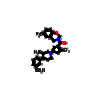 CC1CN([C@H]2CC(C(=O)N3COc4ccc(C(F)(F)F)cc4C3)=C(C(F)(F)F)C2)CCC1c1cccc(C(=O)O)c1